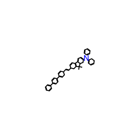 CC1(C)C2=C(C=CC(/C=C/C3C=CC(c4ccc(-c5ccccc5)cc4)=CC3)C2)C2=CC=C(N(C3=CC=CCC3)c3ccccc3)CC21